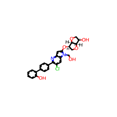 OCn1c(O[C@@H]2CO[C@H]3[C@@H]2OC[C@H]3O)cc2nc(-c3ccc(-c4ccccc4O)cc3)c(Cl)cc21